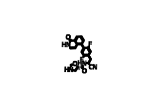 N#CC(Cc1cc(F)c(-c2cccc3c(=O)[nH]ccc23)cc1F)NC(=O)[C@@H]1CNCO1